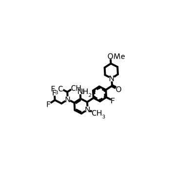 COC1CCN(C(=O)c2ccc(C3C(N)=C(N(CC(F)F)C(C)C(F)(F)F)C=CN3C)cc2F)CC1